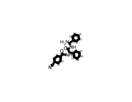 N#Cc1ccc(C(=O)NC(C(=O)NC(N)c2ccccc2)c2ccccc2)cc1